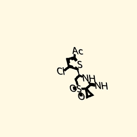 CC(=O)c1cc(Cl)c([C@@H]2CS(=O)(=O)C3(CC3)C(=N)N2)s1